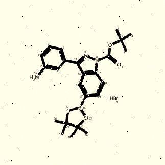 Br.CC(C)(C)OC(=O)n1nc(-c2cccc(N)c2)c2cc(B3OC(C)(C)C(C)(C)O3)ccc21